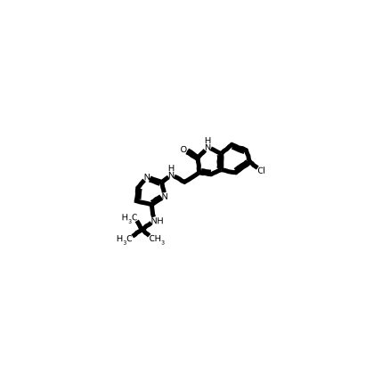 CC(C)(C)Nc1ccnc(NCc2cc3cc(Cl)ccc3[nH]c2=O)n1